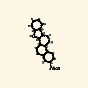 CCCCCCCCCc1ccc2c(ccc3c2ccc2c4ccccc4oc23)c1